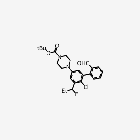 CCC(F)c1cc(N2CCN(C(=O)OC(C)(C)C)CC2)cc(-c2ccccc2C=O)c1Cl